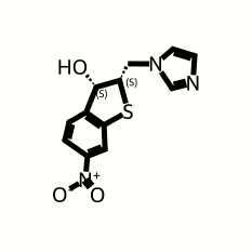 O=[N+]([O-])c1ccc2c(c1)S[C@@H](Cn1ccnc1)[C@H]2O